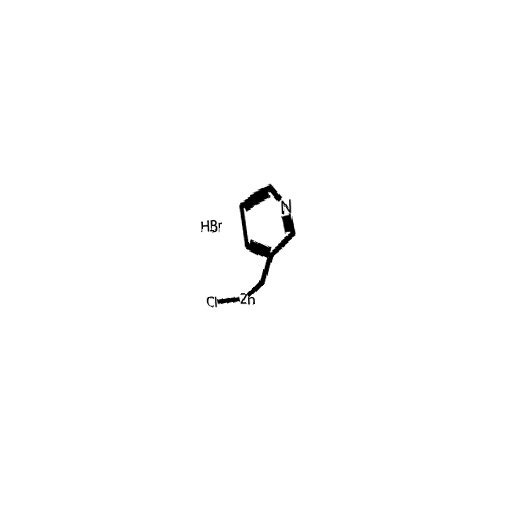 Br.[Cl][Zn][CH2]c1cccnc1